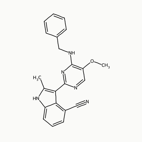 COc1cnc(-c2c(C)[nH]c3cccc(C#N)c23)nc1NCc1ccccc1